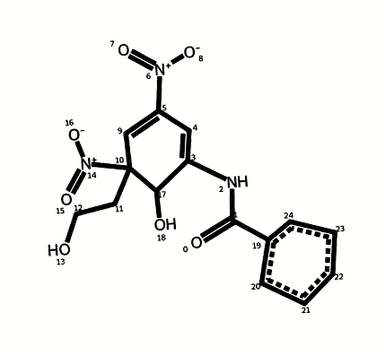 O=C(NC1=CC([N+](=O)[O-])=CC(CCO)([N+](=O)[O-])C1O)c1ccccc1